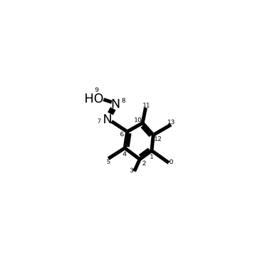 Cc1c(C)c(C)c(N=NO)c(C)c1C